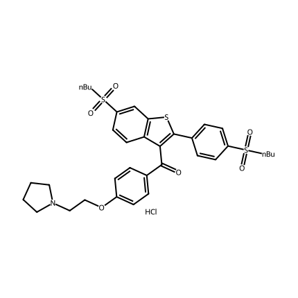 CCCCS(=O)(=O)c1ccc(-c2sc3cc(S(=O)(=O)CCCC)ccc3c2C(=O)c2ccc(OCCN3CCCC3)cc2)cc1.Cl